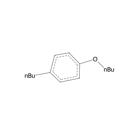 [CH2]CCCOc1ccc(CCCC)cc1